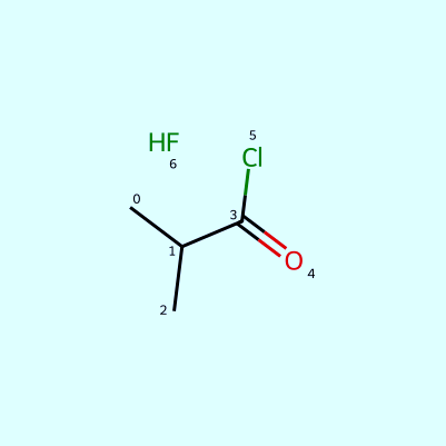 CC(C)C(=O)Cl.F